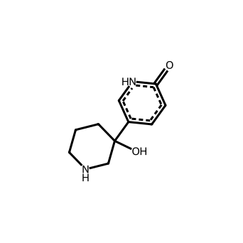 O=c1ccc(C2(O)CCCNC2)c[nH]1